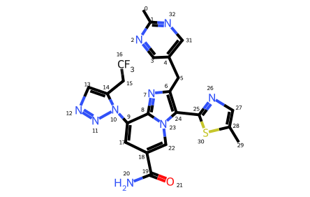 Cc1ncc(Cc2nc3c(-n4nncc4CC(F)(F)F)cc(C(N)=O)cn3c2-c2ncc(C)s2)cn1